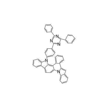 c1ccc(-c2nc(-c3ccccc3)nc(-c3ccc(-n4c5ccccc5c5ccc6c(c7ccccc7c7cc8ccccc8n76)c54)cc3)n2)cc1